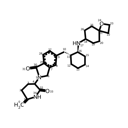 C=C1CCC(N2Cc3cc(C[C@H]4CCCC[C@@H]4NC4CCC5(CCO5)CC4)ccc3C2=O)C(=O)N1